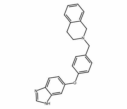 c1ccc2c(c1)CCN(Cc1ccc(Oc3ccc4nc[nH]c4c3)cc1)C2